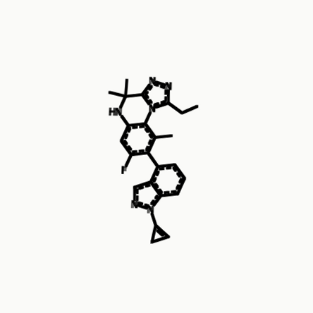 CCc1nnc2n1-c1c(cc(F)c(-c3cccc4c3cnn4C3=CC3)c1C)NC2(C)C